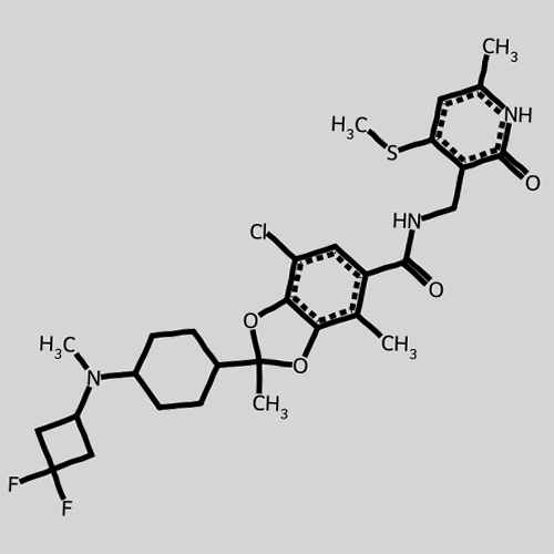 CSc1cc(C)[nH]c(=O)c1CNC(=O)c1cc(Cl)c2c(c1C)OC(C)(C1CCC(N(C)C3CC(F)(F)C3)CC1)O2